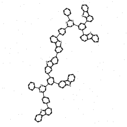 c1ccc(-c2nc(-c3ccc(-c4cccc5c4sc4ccccc45)cc3)cc(-c3cc(-c4ccc5sc6ccccc6c5c4)cc(-c4ccc5sc6cc(-c7ccc8sc9c(-c%10ccc(-c%11cc(-c%12cc(-c%13cccc%14c%13sc%13ccccc%13%14)cc(-c%13cccc%14c%13sc%13ccccc%13%14)c%12)nc(-c%12ccccc%12)n%11)cc%10)cccc9c8c7)ccc6c5c4)c3)n2)cc1